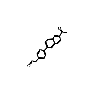 CC(=O)c1ccc2cc(-c3ccc(CC=O)cc3)ccc2c1